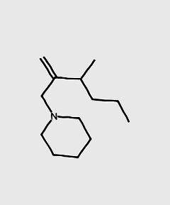 C=C(CN1CCCCC1)C(C)CCC